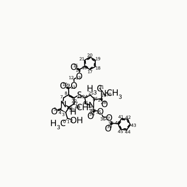 C[C@@H](O)[C@H]1C(=O)N2CC(C(=O)OCOC(=O)c3ccccc3)=C(S[C@H]3C[C@@H](C(=O)N(C)C)N(C(=O)OCOC(=O)c4ccccc4)C3)[C@H](C)[C@H]12